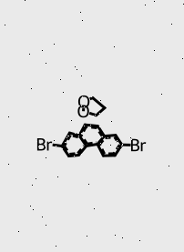 Brc1ccc2c(ccc3cc(Br)ccc32)c1.C1COOC1